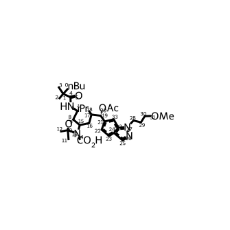 CCCCC(C)(C)C(=O)NCC1OC(C)(C)N(C(=O)O)C1CC(C(C)C)[C@H](OC(C)=O)c1ccc2cnn(CCCOC)c2c1